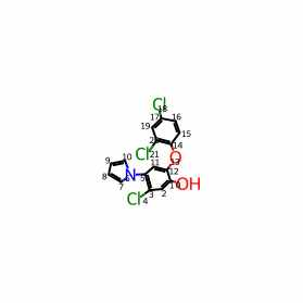 Oc1cc(Cl)c(-n2cccc2)cc1Oc1ccc(Cl)cc1Cl